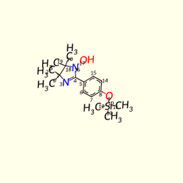 CC1(C)N=C(c2ccc(O[Si](C)(C)C)cc2)N(O)C1(C)C